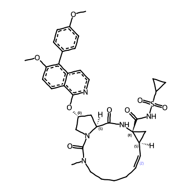 COc1ccc(-c2c(OC)ccc3c(O[C@@H]4C[C@H]5C(=O)N[C@]6(C(=O)NS(=O)(=O)C7CC7)C[C@H]6/C=C\CCCCN(C)C(=O)N5C4)nccc23)cc1